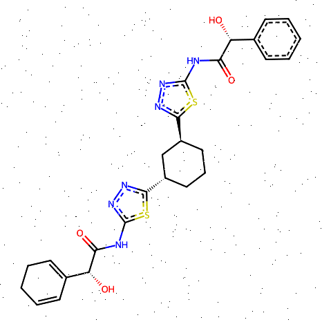 O=C(Nc1nnc([C@H]2CCC[C@H](c3nnc(NC(=O)[C@H](O)c4ccccc4)s3)C2)s1)[C@H](O)C1=CCCC=C1